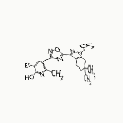 CCc1cc(-c2noc(-c3nn(CC(F)(F)F)c4c3CCC(C)(C)C4)n2)c(C)nc1O